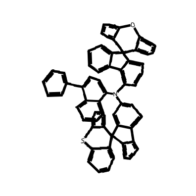 c1ccc(-c2ccc(N(c3ccc4c(c3)C3(c5ccccc5Sc5ccccc53)c3ccccc3-4)c3cccc4c3-c3ccccc3C43c4ccccc4Oc4ccccc43)c3ccccc23)cc1